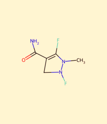 CN1C(F)=C(C(N)=O)CN1F